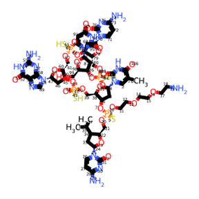 Cc1cn([C@H]2CC(OP(=S)(OCCOCCOCCN)OC[C@H]3O[C@@H](n4ccc(N)nc4=O)CC3C(C)C)[C@@H](COP(=O)(S)OC3C[C@H](n4cnc5c(=O)[nH]c(N)nc54)O[C@@H]3COP(=O)(S)OC3C[C@H](n4ccc(N)nc4=O)O[C@@H]3COP(=O)(S)OC3C[C@H](n4ccc(=O)[nH]c4=O)O[C@@H]3CO)O2)c(=O)[nH]c1=O